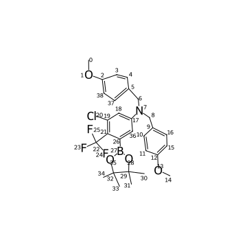 COc1ccc(CN(Cc2ccc(OC)cc2)c2cc(Cl)c(C(F)(F)F)c(B3OC(C)(C)C(C)(C)O3)c2)cc1